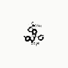 COC(=O)N1c2ccc3c(nc(CC(C(=O)O)c4ccc(C)cc4)n3[C@@H]3CCCOC3)c2CC[C@@H]1C